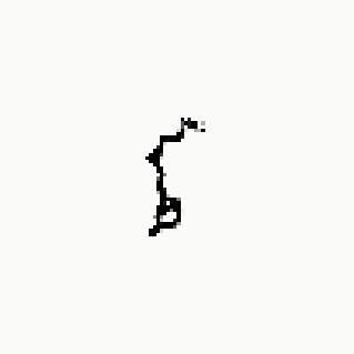 C=C1CC2C=C1/C(=C/CC1C=C1CCN=O)C2